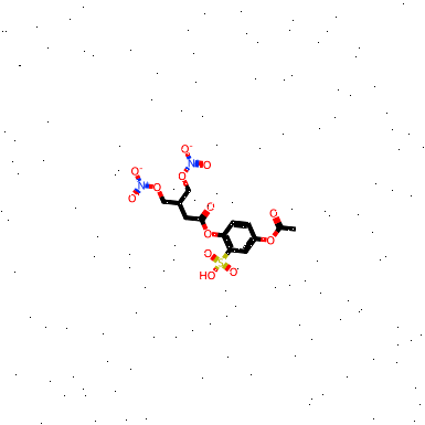 CC(=O)Oc1ccc(OC(=O)CC(CO[N+](=O)[O-])CO[N+](=O)[O-])c(S(=O)(=O)O)c1